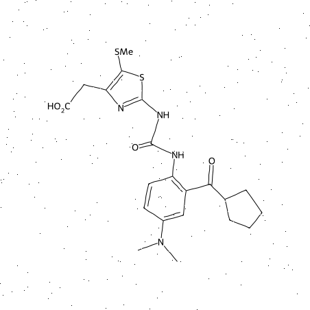 CSc1sc(NC(=O)Nc2ccc(N(C)C)cc2C(=O)C2CCCC2)nc1CC(=O)O